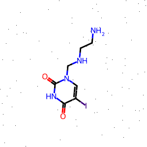 NCCNCn1cc(I)c(=O)[nH]c1=O